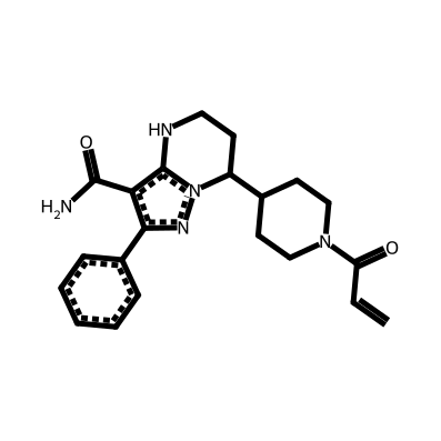 C=CC(=O)N1CCC(C2CCNc3c(C(N)=O)c(-c4ccccc4)nn32)CC1